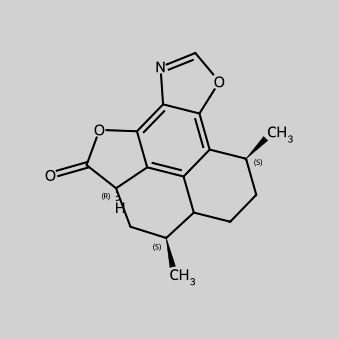 C[C@H]1CCC2c3c4c(c5ncoc5c31)OC(=O)[C@@H]4C[C@@H]2C